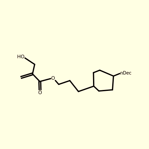 C=C(CO)C(=O)OCCCC1CCC(CCCCCCCCCC)CC1